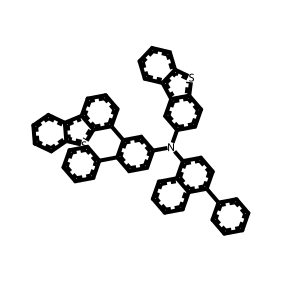 c1ccc(-c2ccc(N(c3ccc4sc5ccccc5c4c3)c3ccc(-c4ccccc4)c4ccccc34)cc2-c2cccc3c2sc2ccccc23)cc1